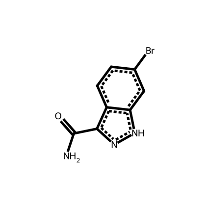 NC(=O)c1n[nH]c2cc(Br)ccc12